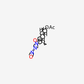 CC(=O)O[C@H]1CC[C@]2(C)[C@H]3CC[C@@H]4[C@H]5[C@H](C6(C)CC6)CC[C@]5(C(=O)N5CCN(CCN6CCOCC6)CC5)CC[C@@]4(C)[C@]3(C)CC[C@H]2C1(C)C